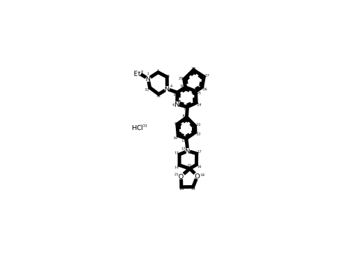 CCN1CCN(c2nc(-c3ccc(N4CCC5(CC4)OCCO5)cc3)cc3ccccc23)CC1.Cl